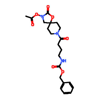 CC(=O)ON1CC2(CCN(C(=O)CCCNC(=O)OCc3ccccc3)CC2)OC1=O